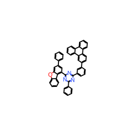 c1ccc(-c2cc(-c3nc(-c4ccccc4)nc(-c4cccc(-c5ccc6c7ccccc7c7ccccc7c6c5)c4)n3)c3c(c2)oc2ccccc23)cc1